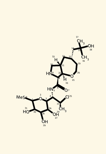 CSC1OC([C@H](NC(=O)[C@H]2NC[C@@H]3C[C@H](CC(C)(C)O)CCO[C@H]32)[C@H](C)Cl)C(O)C(O)C1O